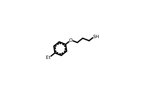 CCc1ccc(OCCCS)cc1